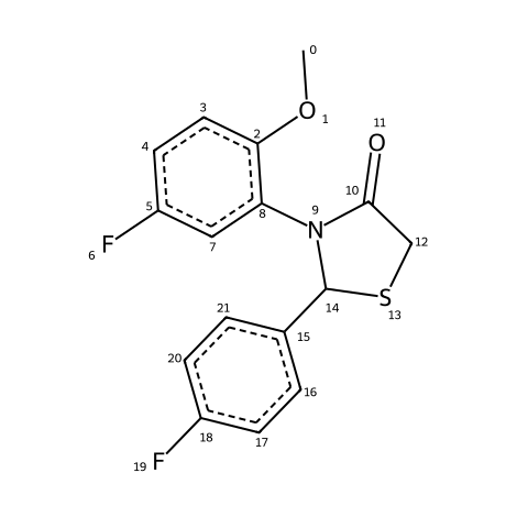 COc1ccc(F)cc1N1C(=O)CSC1c1ccc(F)cc1